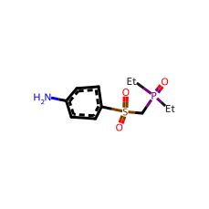 CCP(=O)(CC)CS(=O)(=O)c1ccc(N)cc1